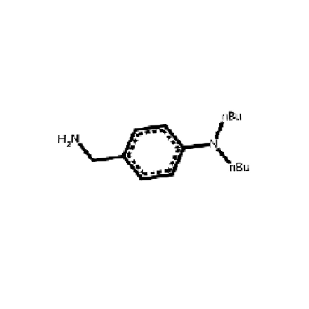 CCCCN(CCCC)c1ccc(CN)cc1